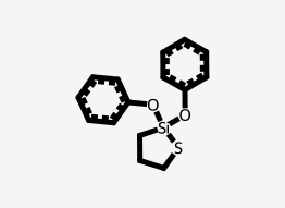 c1ccc(O[Si]2(Oc3ccccc3)CCCS2)cc1